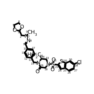 CN(CC1OCCO1)N=Cc1ccc(CN2C(=O)CN(S(=O)(=O)c3cc4ccc(Cl)cc4s3)C[C@@H]2C(=O)O)cc1